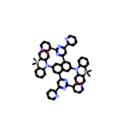 C[Si]1(C)c2ccccc2N(c2cc(-c3cc(-c4ccccn4)nc(-c4cccnc4)n3)c3cc(N4c5ccccc5[Si](C)(C)c5ccccc54)cc(-c4cc(-c5ccccn5)nc(-c5cccnc5)n4)c3c2)c2ccccc21